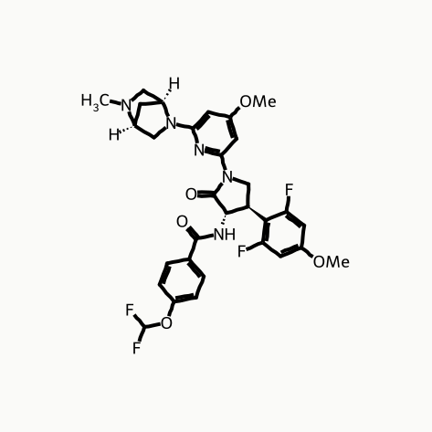 COc1cc(N2C[C@@H](c3c(F)cc(OC)cc3F)[C@H](NC(=O)c3ccc(OC(F)F)cc3)C2=O)nc(N2C[C@@H]3C[C@H]2CN3C)c1